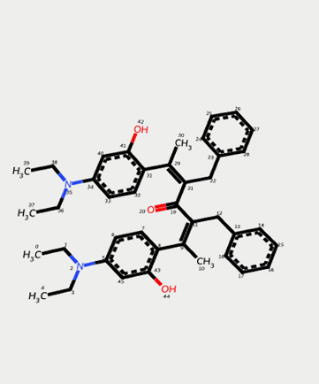 CCN(CC)c1ccc(C(C)=C(Cc2ccccc2)C(=O)C(Cc2ccccc2)=C(C)c2ccc(N(CC)CC)cc2O)c(O)c1